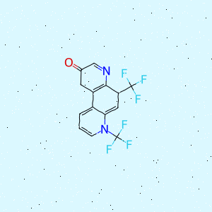 O=C1C=NC2=C(C1)C1=CC=CN(C(F)(F)F)C1=CC2C(F)(F)F